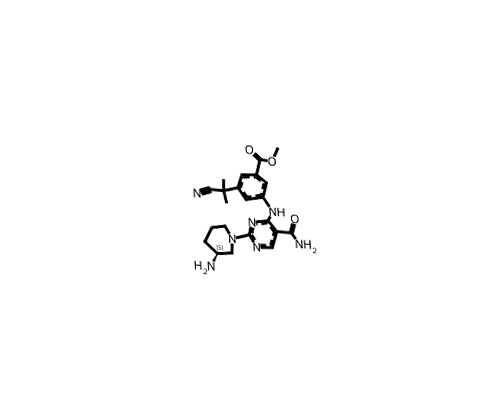 COC(=O)c1cc(Nc2nc(N3CCC[C@H](N)C3)ncc2C(N)=O)cc(C(C)(C)C#N)c1